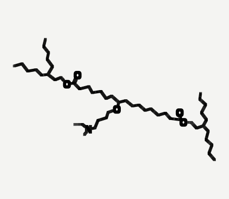 CCCCCC(CCCCC)CCOC(=O)CCCCCCCCC(CCCCCCC(=O)OCCC(CCCCC)CCCCC)OCCCCN(C)CC